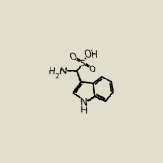 NC(c1c[nH]c2ccccc12)S(=O)(=O)O